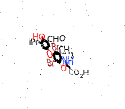 Cc1c(NC(=O)CC(=O)O)cc(Br)c(Oc2cc(C=O)c(O)c(C(C)C)c2)c1Br